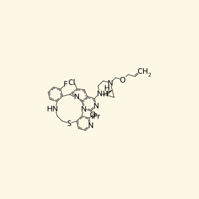 C=CCOCN1CCN(c2nc(=O)n3c4nc(c(Cl)cc24)-c2c(F)cccc2NCCSc2ccnc(C(C)C)c2-3)[C@H]2C[C@H]21